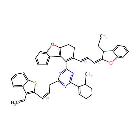 C=Cc1c(/C=C\Cc2nc(C3=CCCCC3C)nc(C3=C(/C=C/C=C4/Oc5ccccc5C4CC)CCc4oc5ccccc5c43)n2)sc2ccccc12